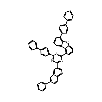 c1ccc(-c2ccc(-c3nc(-c4ccc5ccc(-c6ccccc6)cc5c4)nc(-c4cccc5oc6c(-c7ccc(-c8ccccc8)cc7)cccc6c45)n3)cc2)cc1